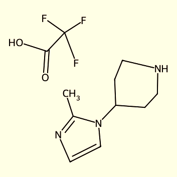 Cc1nccn1C1CCNCC1.O=C(O)C(F)(F)F